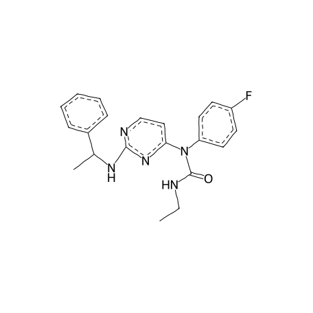 CCNC(=O)N(c1ccc(F)cc1)c1ccnc(NC(C)c2ccccc2)n1